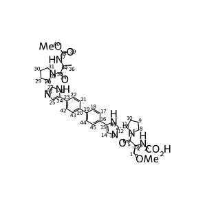 COC[C@H](NC(=O)O)C(=O)N1CCC[C@H]1c1ncc(-c2ccc(-c3ccc(-c4cnc([C@@H]5CCCN5C(=O)[C@H](C)NC(=O)OC)[nH]4)cc3)cc2)[nH]1